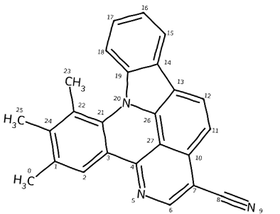 Cc1cc2c3ncc(C#N)c4ccc5c6ccccc6n(c2c(C)c1C)c5c43